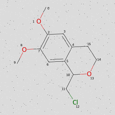 COc1cc2c(cc1OC)C(CCl)OCC2